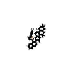 Cc1cc2c3c(ccc2cc1-c1ccc2ccccc2c1-c1ccc(C#CC(=O)O)s1)C1=C(CC(C)(C)C=C1)CC3(C)C